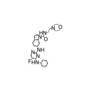 O=C(NCCN1CCOCC1)n1ccc2ccc(Nc3ncc(F)c(Nc4ccccc4)n3)cc21